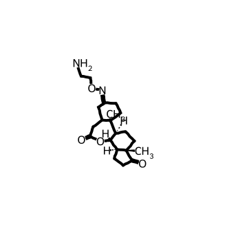 C[C@]12CC/C(=N/OCCN)CC1CC(=O)O[C@@H]1[C@@H]2CC[C@]2(C)C(=O)CC[C@@H]12